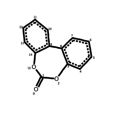 O=C1Oc2ccccc2-c2ccccc2O1